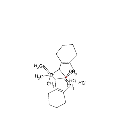 CC1=CC2=C(CCCC2)[CH]1[Zr]([CH3])([CH3])(=[GeH2])[CH]1C(C)=CC2=C1CCCC2.Cl.Cl